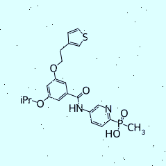 CC(C)Oc1cc(OCCc2ccsc2)cc(C(=O)Nc2ccc(P(C)(=O)O)nc2)c1